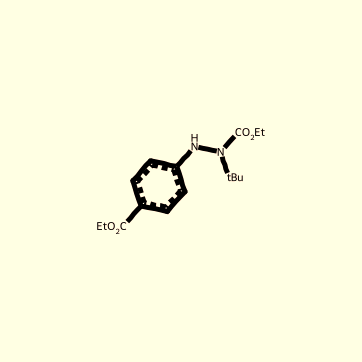 CCOC(=O)c1ccc(NN(C(=O)OCC)C(C)(C)C)cc1